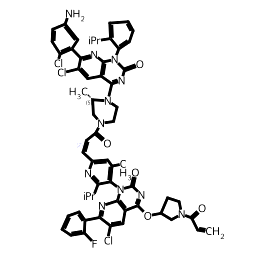 C=CC(=O)N1CCC(Oc2nc(=O)n(-c3c(C)cc(/C=C\C(=O)N4CCN(c5nc(=O)n(-c6ccccc6C(C)C)c6nc(-c7cc(N)ccc7Cl)c(Cl)cc56)[C@@H](C)C4)nc3C(C)C)c3nc(-c4ccccc4F)c(Cl)cc23)C1